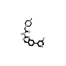 CN1CCN(CC(=O)Nc2ncc3ccc(-c4cncc(F)c4)cc3n2)CC1